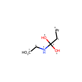 CC(C)CC(O)(O)NCC(=O)O